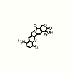 CCc1ccc(N)c2cc3c(nc12)-c1cc2c(c(=O)n1C3)COC(=O)[C@]2(O)CC